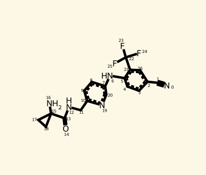 N#Cc1ccc(Nc2ccc(CNC(=O)C3(N)CC3)nc2)c(C(F)(F)F)c1